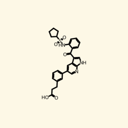 O=C(O)CCc1cccc(-c2cnc3[nH]cc(C(=O)c4ccccc4NS(=O)(=O)C4CCCC4)c3c2)c1